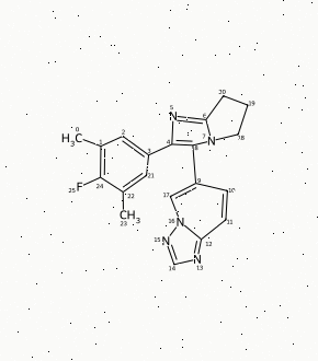 Cc1cc(-c2nc3n(c2-c2ccc4ncnn4c2)CCC3)cc(C)c1F